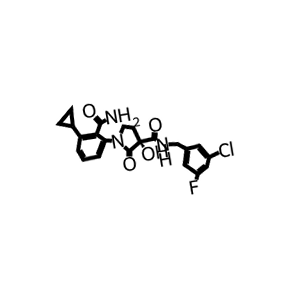 NC(=O)c1c(C2CC2)cccc1N1CC[C@](O)(C(=O)NCc2cc(F)cc(Cl)c2)C1=O